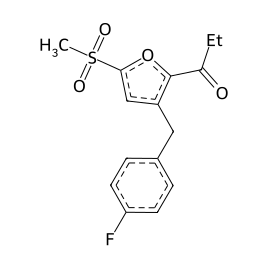 CCC(=O)c1oc(S(C)(=O)=O)cc1Cc1ccc(F)cc1